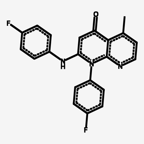 Cc1ccnc2c1c(=O)cc(Nc1ccc(F)cc1)n2-c1ccc(F)cc1